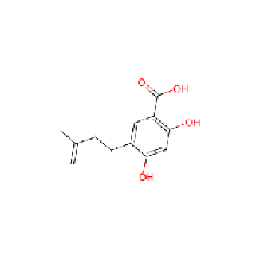 C=C(C)CCc1cc(C(=O)O)c(O)cc1O